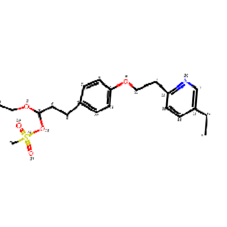 CCOC(CCc1ccc(OCCc2ccc(CC)cn2)cc1)OS(C)(=O)=O